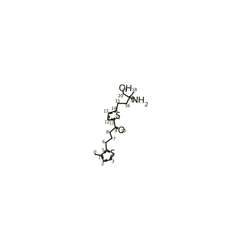 Cc1ccsc1CCCC(=O)c1ccc(CCC(C)(N)CO)s1